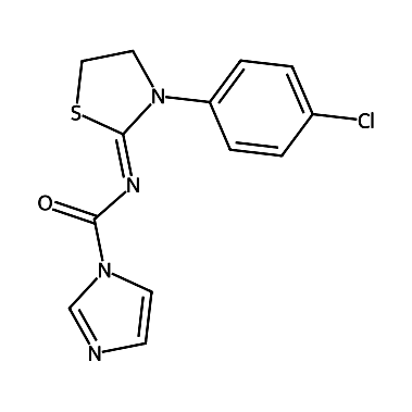 O=C(/N=C1\SCCN1c1ccc(Cl)cc1)n1ccnc1